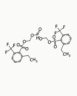 CCc1cccc(C(F)(F)F)c1S(=O)(=O)OCO[PH](=O)OCOS(=O)(=O)c1c(CC)cccc1C(F)(F)F